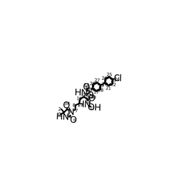 CC1(C)NC(=O)N(CCCCC(NS(=O)(=O)c2ccc(-c3ccc(Cl)cc3)cc2)C(=O)NO)C1=O